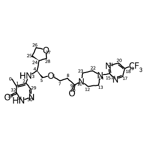 Cc1c(N[C@H](COCCC(=O)N2CCN(c3ncc(C(F)(F)F)cn3)CC2)[C@H]2CCOC2)cn[nH]c1=O